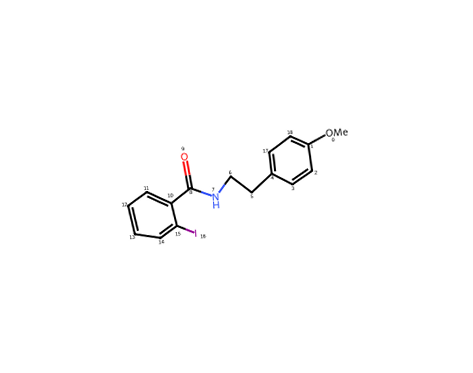 COc1ccc(CCNC(=O)c2ccccc2I)cc1